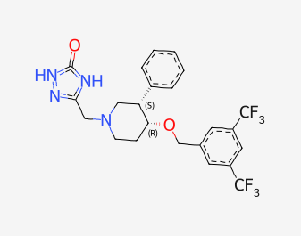 O=c1[nH]nc(CN2CC[C@@H](OCc3cc(C(F)(F)F)cc(C(F)(F)F)c3)[C@@H](c3ccccc3)C2)[nH]1